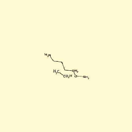 CC(=O)O.NCCC[SiH2]O[SiH3]